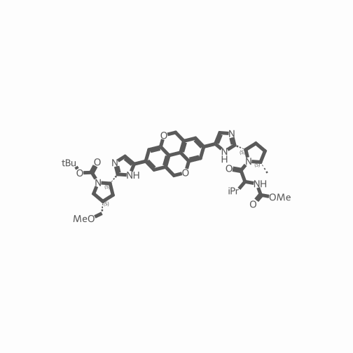 COC[C@H]1C[C@@H](c2ncc(-c3cc4c5c(c3)OCc3cc(-c6cnc([C@@H]7CC[C@H](C)N7C(=O)C(NC(=O)OC)C(C)C)[nH]6)cc(c3-5)OC4)[nH]2)N(C(=O)OC(C)(C)C)C1